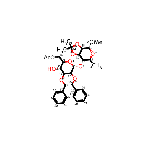 CO[C@@H]1OC(C)[C@H](O[C@H]2OC(COC(C)=O)[C@@H](O)C(OCc3ccccc3)C2OCc2ccccc2)C2OC(C)(C)OC21